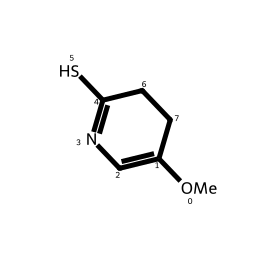 COC1=CN=C(S)CC1